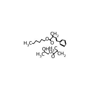 C=C(C)C(=O)OCC(C)O.C=C(C=Cc1ccccc1)C(=O)OCCCCCC